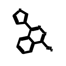 Nc1nnc(-c2ccsc2)c2ccccc12